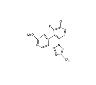 COc1cc(-c2c(-n3cc(C(F)(F)F)nn3)ccc(Cl)c2F)ccn1